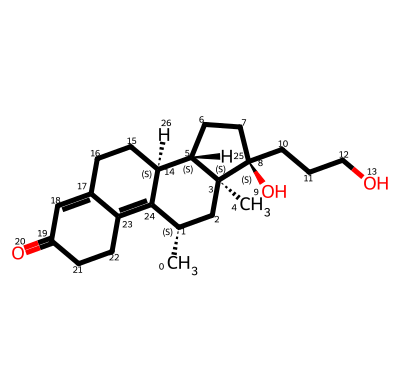 C[C@H]1C[C@@]2(C)[C@@H](CC[C@]2(O)CCCO)[C@@H]2CCC3=CC(=O)CCC3=C21